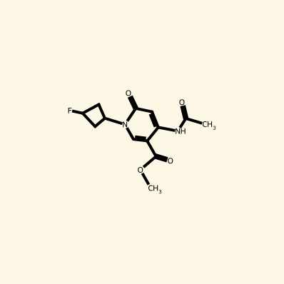 COC(=O)c1cn(C2CC(F)C2)c(=O)cc1NC(C)=O